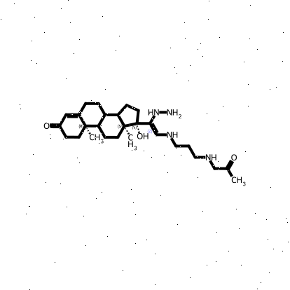 CC(=O)CNCCCN/C=C(\NN)[C@]1(O)CCC2C3CCC4=CC(=O)CC[C@]4(C)C3CC[C@@]21C